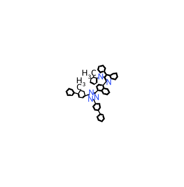 CC1CC(c2nc(-c3ccc(-c4ccccc4)cc3)nc(-c3ccc(-c4nc5ccccc5c5c6ccccc6n(C6=CC=CCC6C)c45)c4ccccc34)n2)=CC=C1c1ccccc1